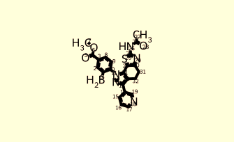 Bc1cc(C(=O)OC)ccc1-n1nc(-c2cccnc2)c2c1-c1sc(NC(C)=O)nc1CC2